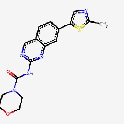 Cc1ncc(-c2ccc3cnc(NC(=O)N4CCOCC4)nc3c2)s1